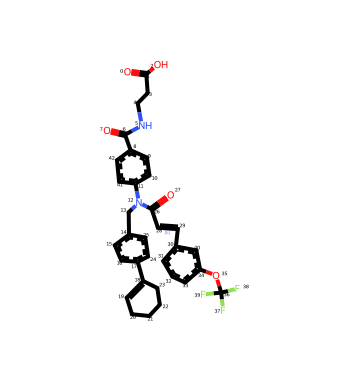 O=C(O)CCNC(=O)c1ccc(N(Cc2ccc(C3=CCCCC3)cc2)C(=O)/C=C/c2cccc(OC(F)(F)F)c2)cc1